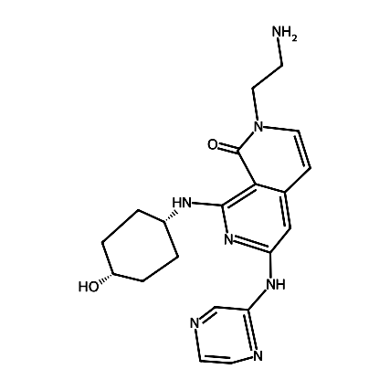 NCCn1ccc2cc(Nc3cnccn3)nc(N[C@H]3CC[C@@H](O)CC3)c2c1=O